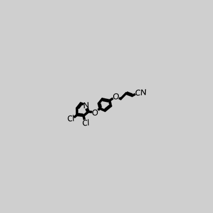 N#CC=CCOc1ccc(Oc2nccc(Cl)c2Cl)cc1